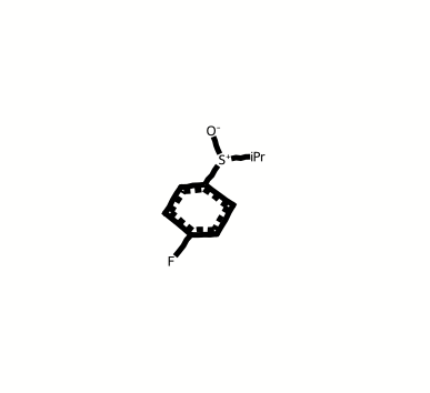 CC(C)[S+]([O-])c1ccc(F)cc1